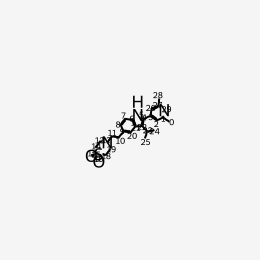 Cc1cc(-c2[nH]c3ccc(CCN4CCS(=O)(=O)CC4)cc3c2C(C)C)cc(C)n1